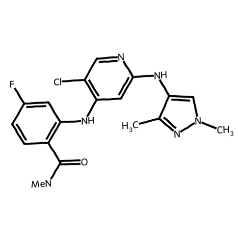 CNC(=O)c1ccc(F)cc1Nc1cc(Nc2cn(C)nc2C)ncc1Cl